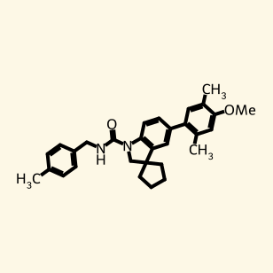 COc1cc(C)c(-c2ccc3c(c2)C2(CCCC2)CN3C(=O)NCc2ccc(C)cc2)cc1C